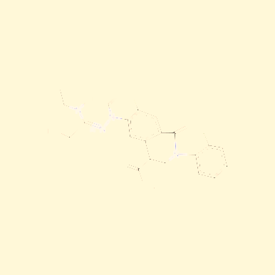 C=C(C)C1CN(c2ccccc2Cl)C(=O)c2cc(F)c(N(C=O)/N=C(/CO)N(C)CC)cc21